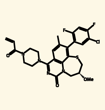 C=CC(=O)N1CCN(c2nc(=O)n3c4c(c(-c5cc(Cl)c(F)cc5F)c(C)cc24)SC[C@H](OC)C3)CC1